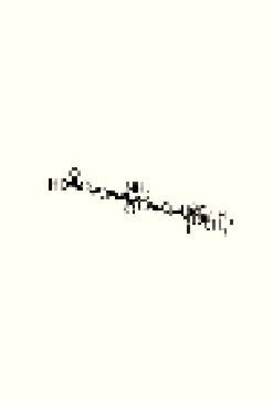 CC(C)(C)OC(=O)NCCOCCOCC(=O)C(N)CCOCCOCC(=O)O